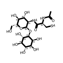 CC(=O)N[C@@H](CS)C(=O)N[C@H]1[C@@H](O[C@@H]2[C@@H](O)[C@H](O)[C@@H](O)[C@H](O)[C@@H]2O)O[C@H](CO)[C@@H](O)[C@@H]1O